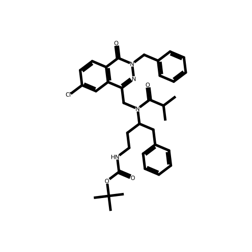 CC(C)C(=O)N(Cc1nn(Cc2ccccc2)c(=O)c2ccc(Cl)cc12)C(CCNC(=O)OC(C)(C)C)Cc1ccccc1